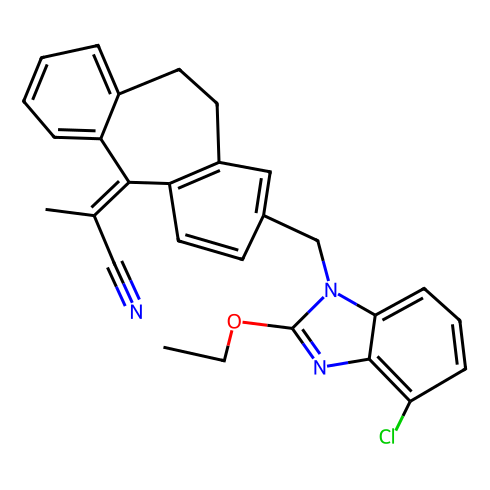 CCOc1nc2c(Cl)cccc2n1Cc1ccc2c(c1)CCc1ccccc1C2=C(C)C#N